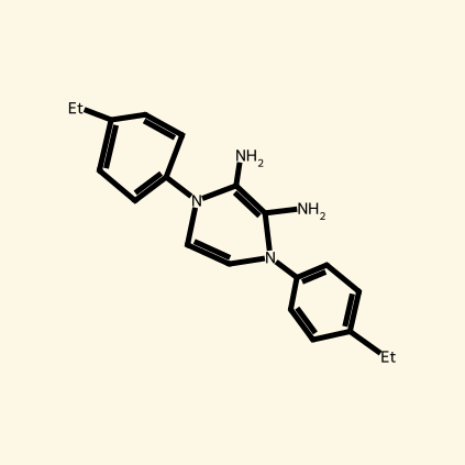 CCc1ccc(N2C=CN(c3ccc(CC)cc3)C(N)=C2N)cc1